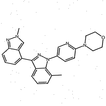 Cc1cccc2c(-c3cccc4nn(C)cc34)nn(-c3ccc(N4CCOCC4)nc3)c12